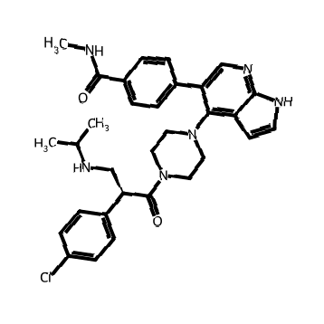 CNC(=O)c1ccc(-c2cnc3[nH]ccc3c2N2CCN(C(=O)[C@H](CNC(C)C)c3ccc(Cl)cc3)CC2)cc1